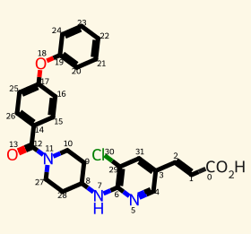 O=C(O)C=Cc1cnc(NC2CCN(C(=O)c3ccc(Oc4ccccc4)cc3)CC2)c(Cl)c1